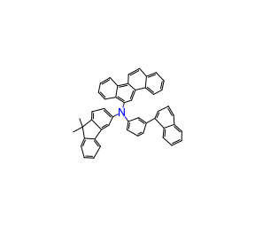 CC1(C)c2ccccc2-c2cc(N(c3cccc(-c4cccc5ccccc45)c3)c3cc4c5ccccc5ccc4c4ccccc34)ccc21